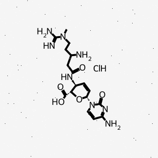 CN(CCC(N)CC(=O)N[C@H]1C=C[C@H](n2ccc(N)nc2=O)O[C@@H]1C(=O)O)C(=N)N.Cl